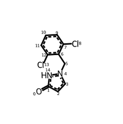 O=c1ccn(Cc2c(Cl)cccc2Cl)[nH]1